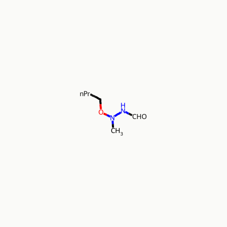 CCCCON(C)NC=O